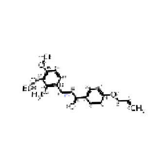 C=CCOc1ccc(C(=O)/C=C/c2ccc(OCC)c(OCC)c2C)cc1